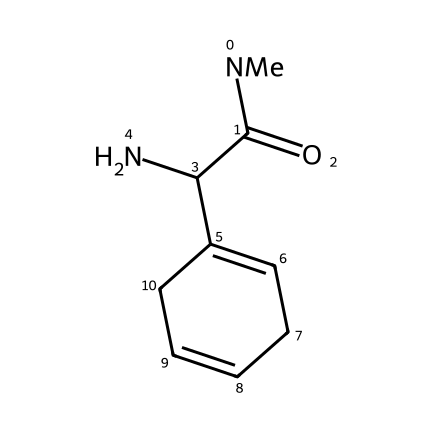 CNC(=O)C(N)C1=CCC=CC1